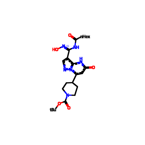 CCCCCCC(=O)N/C(=N/O)c1cnn2c(C3CCN(C(=O)OC(C)(C)C)CC3)cc(=O)[nH]c12